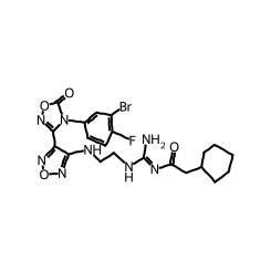 N/C(=N\C(=O)CC1CCCCC1)NCCNc1nonc1-c1noc(=O)n1-c1ccc(F)c(Br)c1